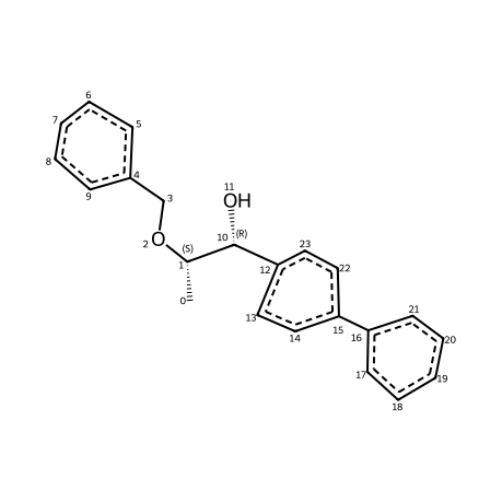 C[C@H](OCc1ccccc1)[C@H](O)c1ccc(-c2ccccc2)cc1